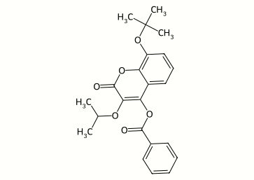 CC(C)Oc1c(OC(=O)c2ccccc2)c2cccc(OC(C)(C)C)c2oc1=O